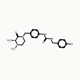 C[C@H]1C(=O)N(Cc2ccc(NC(=O)NCc3ccc(Cl)cc3)cc2)CCN1C